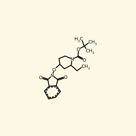 CCC1CC(ON2C(=O)c3ccccc3C2=O)CCN1C(=O)OC(C)(C)C